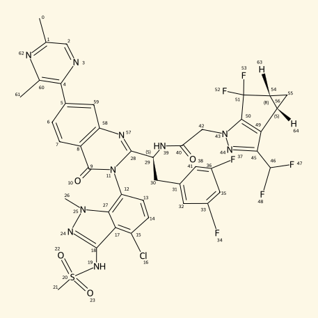 Cc1cnc(-c2ccc3c(=O)n(-c4ccc(Cl)c5c(NS(C)(=O)=O)nn(C)c45)c([C@H](Cc4cc(F)cc(F)c4)NC(=O)Cn4nc(C(F)F)c5c4C(F)(F)[C@@H]4C[C@H]54)nc3c2)c(C)n1